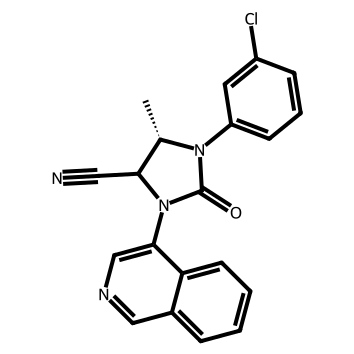 C[C@H]1C(C#N)N(c2cncc3ccccc23)C(=O)N1c1cccc(Cl)c1